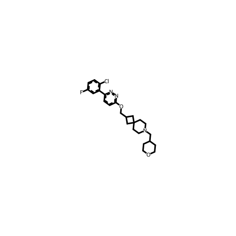 Fc1ccc(Cl)c(-c2ccc(OCC3CC4(CCN(CC5CCOCC5)CC4)C3)nn2)c1